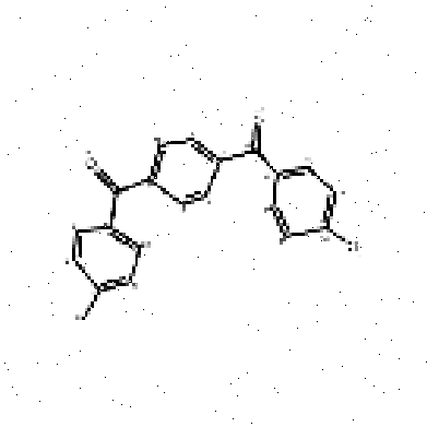 Cc1ccc(C(=O)c2ccc(C(=O)c3ccc(Cl)cc3)cc2)cc1